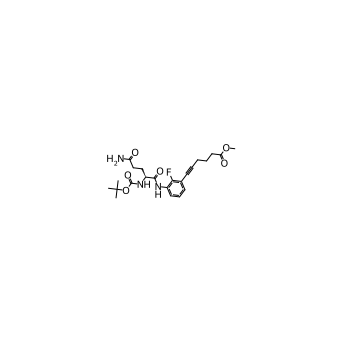 COC(=O)CCCC#Cc1cccc(NC(=O)[C@H](CCC(N)=O)NC(=O)OC(C)(C)C)c1F